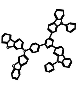 c1ccc(-n2c3ccccc3c3ccc(-c4cc(-c5ccc(N(c6ccc7c(c6)oc6ccccc67)c6ccc7c(c6)oc6ccccc67)cc5)cc(-c5ccc6c7ccccc7n(-c7ccccc7)c6c5)c4)cc32)cc1